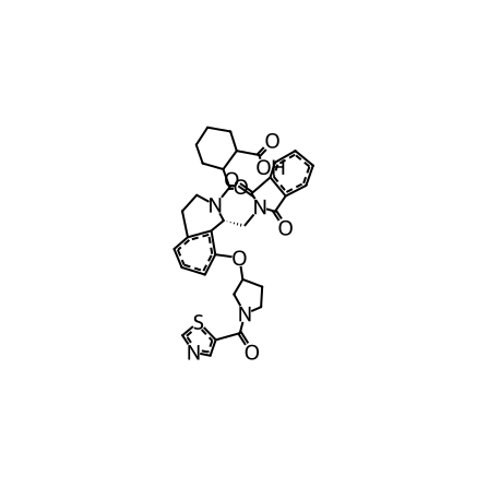 O=C(O)C1CCCCC1C(=O)N1CCc2cccc(OC3CCN(C(=O)c4cncs4)C3)c2[C@H]1CN1C(=O)c2ccccc2C1=O